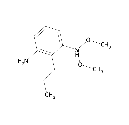 CCCc1c(N)cccc1[SiH](OC)OC